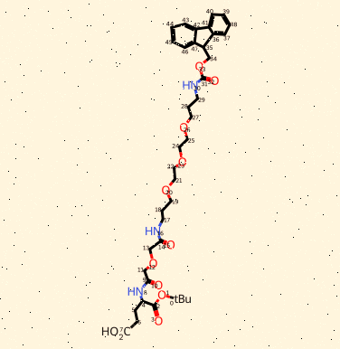 CC(C)(C)OC(=O)C(CCC(=O)O)NC(=O)COCC(=O)NCCCOCCOCCOCCCNC(=O)OCC1c2ccccc2-c2ccccc21